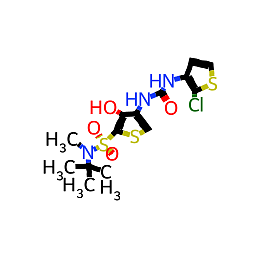 CN(C(C)(C)C)S(=O)(=O)c1scc(NC(=O)Nc2ccsc2Cl)c1O